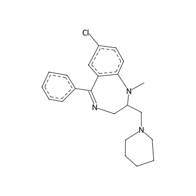 CN1c2ccc(Cl)cc2C(c2ccccc2)=NCC1CN1CCCCC1